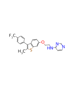 Cc1sc2cc(OCCNc3ccncn3)ccc2c1-c1ccc(C(F)(F)F)cc1